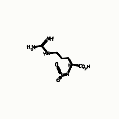 N=C(N)NCCC[C@H](N=S(=O)=O)C(=O)O